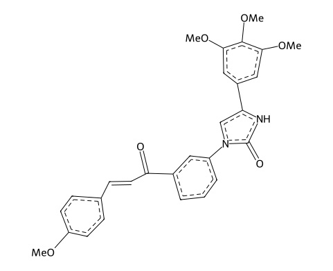 COc1ccc(C=CC(=O)c2cccc(-n3cc(-c4cc(OC)c(OC)c(OC)c4)[nH]c3=O)c2)cc1